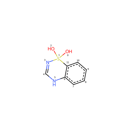 OS1(O)N=[C]Nc2ccccc21